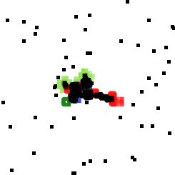 O=C(O)CCCCCOc1ccc(C[C@](NC(=O)c2ccc(F)c(C(F)(F)F)c2)(c2cc(F)cc(OC(F)(F)C(F)F)c2)c2ccc(Cl)cn2)cc1